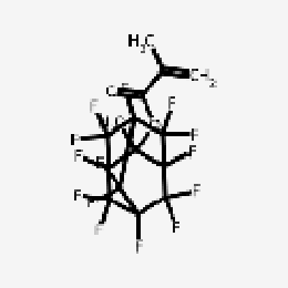 C=C(C)C(=O)OC1(C)C2(F)C(F)(F)C3(F)C(F)(F)C(F)(C2(F)F)C(F)(F)C1(F)C3(F)F